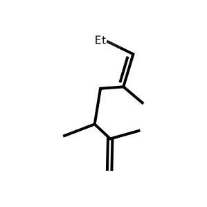 [CH2]CC=C(C)CC(C)C(=C)C